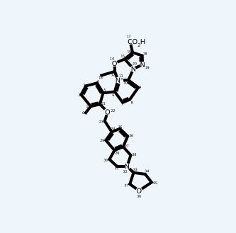 Cc1cccc(-c2cccc3[n+]2C(C)Oc2c(C(=O)O)cnn2-3)c1OCc1ccc2c(c1)CCN(C1CCOC1)C2